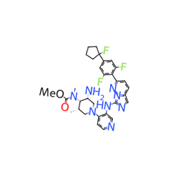 COC(=O)N(C)[C@@H]1[C@H](N)CN(c2ccncc2Nc2ncc3ccc(-c4c(F)cc(C5(F)CCCC5)cc4F)nn23)C[C@@H]1C